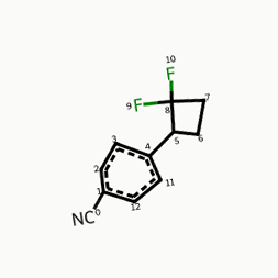 N#Cc1ccc(C2CCC2(F)F)cc1